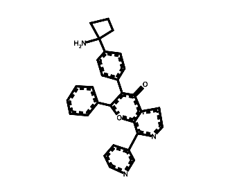 NC1(c2ccc(-c3c(-c4ccccc4)oc4c(-c5cccnc5)nccc4c3=O)cc2)CCC1